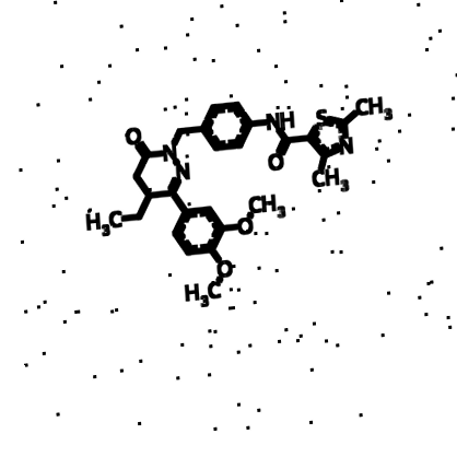 CCC1CC(=O)N(Cc2ccc(NC(=O)c3sc(C)nc3C)cc2)N=C1c1ccc(OC)c(OC)c1